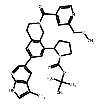 COCc1cc(C(=O)N2CCc3cc(-c4cnc5[nH]cc(C)c5c4)cc(C4CCCN4C(=O)OC(C)(C)C)c3C2)ccn1